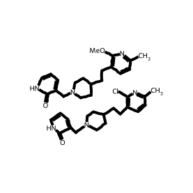 COc1nc(C)ccc1CCC1CCN(Cc2ccc[nH]c2=O)CC1.Cc1ccc(CCC2CCN(Cc3ccc[nH]c3=O)CC2)c(Cl)n1